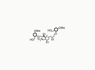 CCC(CCOc1cc(OC)ccc1CO)CC(C)CC(CC)C(CN)CC(CC)CCOc1cc(OC)ccc1CO